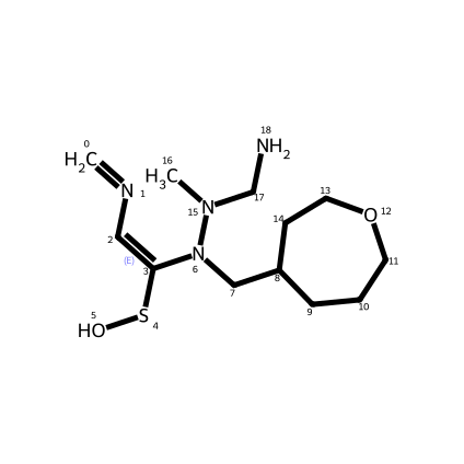 C=N/C=C(/SO)N(CC1CCCOCC1)N(C)CN